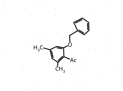 CC(=O)c1c(C)cc(C)cc1OCc1ccccc1